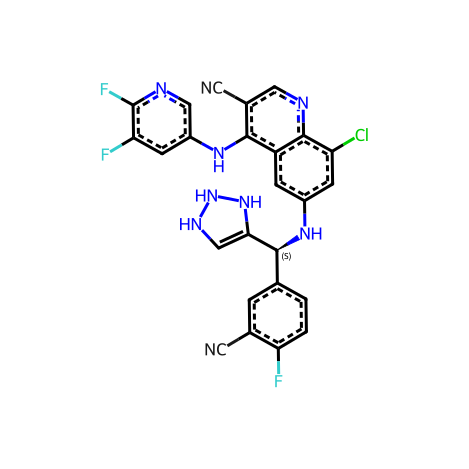 N#Cc1cc([C@H](Nc2cc(Cl)c3ncc(C#N)c(Nc4cnc(F)c(F)c4)c3c2)C2=CNNN2)ccc1F